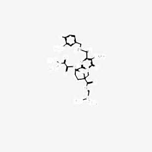 COc1c(C(=O)NCc2ccc(F)c(C)c2)nc2n(c1=O)CC1(C(=O)/N=C/N(C)C)CCC2(NC(=O)C(=O)N(C)C)CC1